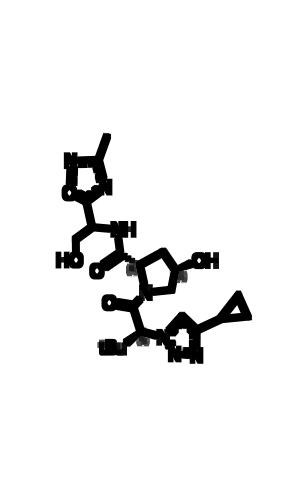 Cc1noc(C(CO)NC(=O)[C@@H]2C[C@@H](O)CN2C(=O)[C@@H](n2cc(C3CC3)nn2)C(C)(C)C)n1